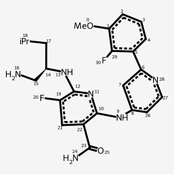 COc1cccc(-c2cc(Nc3nc(N[C@@H](CN)CC(C)C)c(F)cc3C(N)=O)ccn2)c1F